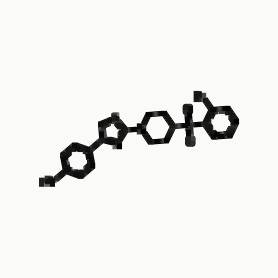 CCCc1ccc(-c2csc(N3CCC(S(=O)(=O)c4ccccc4Br)CC3)n2)cc1